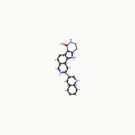 O=C1NCCc2[nH]c3c(ccc4cnc(-c5cnc6ccccc6c5)cc43)c21